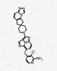 Nc1nccc(Sc2ccc3nc(N4CCC5(CC4)Cc4ccc6nncn6c4C5)c4cnc2n34)c1Cl